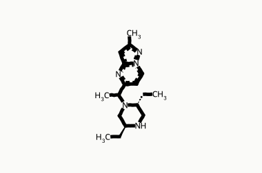 CC[C@H]1CN(C(C)c2ccn3nc(C)cc3n2)[C@H](CC)CN1